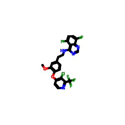 COc1cc(CCNc2ncnc3c(F)ccc(F)c23)ccc1Oc1ccnc(C(F)(F)F)c1Cl